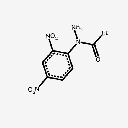 CCC(=O)N(N)c1ccc([N+](=O)[O-])cc1[N+](=O)[O-]